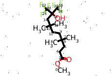 COC(=O)CCC(C)(C)CCC(C)(C)CC(O)(C(F)(F)F)C(F)(F)F